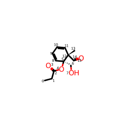 CCC(=O)O[C@@]1(CO)C=CC=C[C@]1(C)C=O